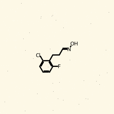 ON=CCCc1c(F)cccc1Cl